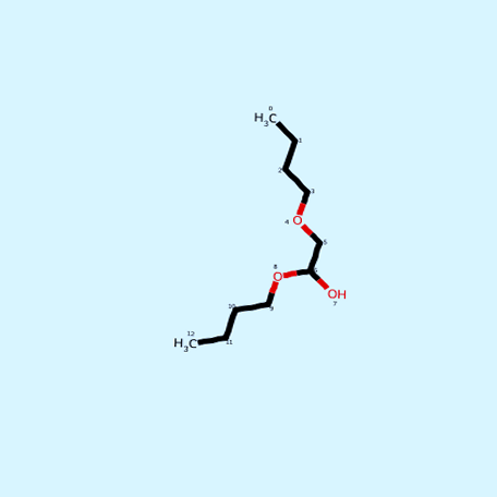 CCCCOCC(O)OCCCC